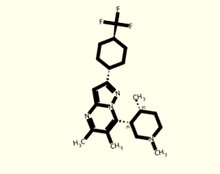 Cc1nc2cc([C@H]3CC[C@H](C(F)(F)F)CC3)nn2c([C@H]2CN(C)CC[C@H]2C)c1C